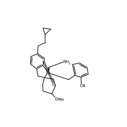 COC1CCC2(CC1)Cc1ccc(CCC3CC3)cc1C21N=C(N)N(Cc2ccccc2C#N)C1=O